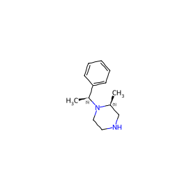 C[C@H]1CNCCN1[C@@H](C)c1ccccc1